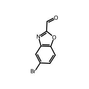 O=Cc1nc2cc(Br)ccc2o1